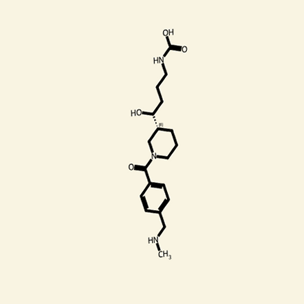 CNCc1ccc(C(=O)N2CCC[C@@H](C(O)CCCNC(=O)O)C2)cc1